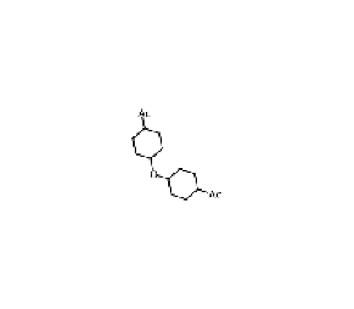 CC(=O)C1CCC(OC2CCC(C(C)=O)CC2)CC1